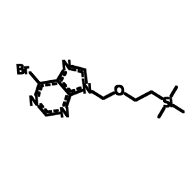 C[Si](C)(C)CCOCn1cnc2c(Br)ncnc21